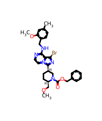 COC[C@H]1CC[C@@H](c2nc(Br)c3c(NCc4ccc(C)cc4OC)nccn23)CN1C(=O)OCc1ccccc1